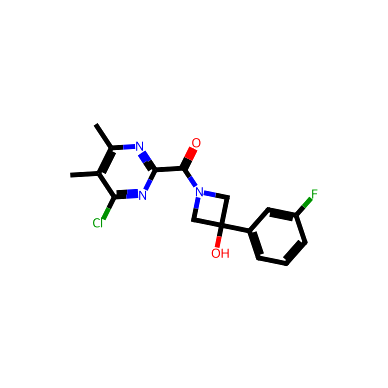 Cc1nc(C(=O)N2CC(O)(c3cccc(F)c3)C2)nc(Cl)c1C